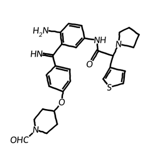 N=C(c1ccc(OC2CCN(C=O)CC2)cc1)c1cc(NC(=O)C(c2ccsc2)N2CCCC2)ccc1N